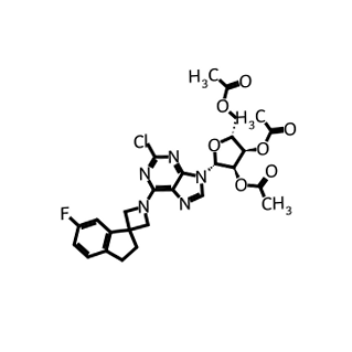 CC(=O)OC[C@H]1O[C@@H](n2cnc3c(N4CC5(CCc6ccc(F)cc65)C4)nc(Cl)nc32)[C@H](OC(C)=O)[C@@H]1OC(C)=O